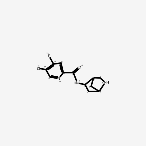 O=C(NC1CC2CC1CN2)c1cc(F)c(Cl)cn1